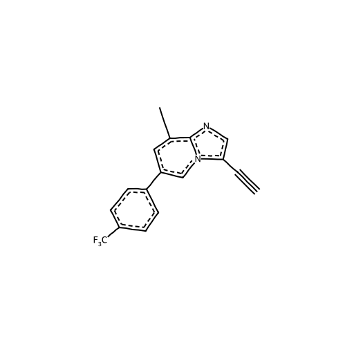 C#Cc1cnc2c(C)cc(-c3ccc(C(F)(F)F)cc3)cn12